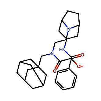 O=C(NC1CC2CCC(C1)N2CCN(CC12CC3CC(CC(C3)C1)C2)C(=O)CO)c1ccccc1